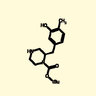 Cc1ccc(C[C@@H]2CNCCN2C(=O)OC(C)(C)C)cc1O